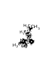 CCC(CC)COC(=O)C(C)/N=[P+](\[O-])Oc1ccccc1OCc1cnc(C)c(O)c1C=O